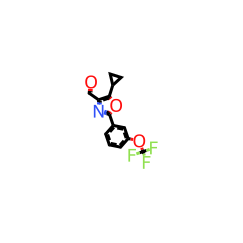 O=Cc1nc(-c2cccc(OC(F)(F)F)c2)oc1C1CC1